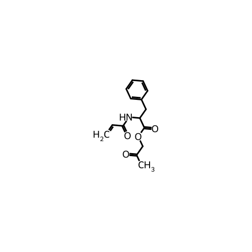 C=CC(=O)NC(Cc1ccccc1)C(=O)OCC(C)=O